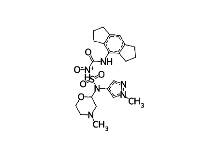 CN1CCOC(N(c2cnn(C)c2)S(=O)(=O)[NH+]([O-])C(=O)Nc2c3c(cc4c2CCC4)CCC3)C1